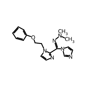 CN(C)N=C(c1nccn1CCOc1ccccc1)n1ccnc1